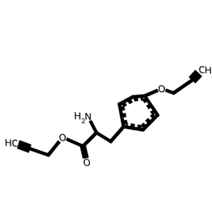 C#CCOC(=O)C(N)Cc1ccc(OCC#C)cc1